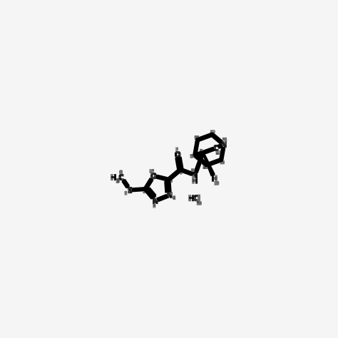 CSc1nnc(C(=O)N[C@H]2CN3CCC2CC3)o1.Cl